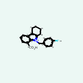 O=C(O)c1cccc2c3c(n(Cc4ccc(F)cc4)c12)CCCC3